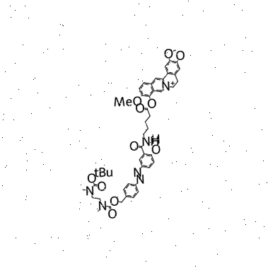 COc1ccc2cc3[n+](cc2c1OC(=O)CCCCNC(=O)c1cc(/N=N/c2ccc(COC(=O)N(C)CCN(C)C(=O)OC(C)(C)C)cc2)ccc1O)CCc1cc2c(cc1-3)OCO2